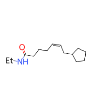 CCNC(=O)CCC/C=C\CC1CCCC1